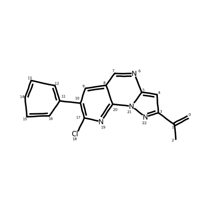 C=C(C)c1cc2ncc3cc(-c4ccccc4)c(Cl)nc3n2n1